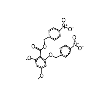 COc1cc(OC)c(C(=O)OCc2ccc([N+](=O)[O-])cc2)c(OCc2ccc([N+](=O)[O-])cc2)c1